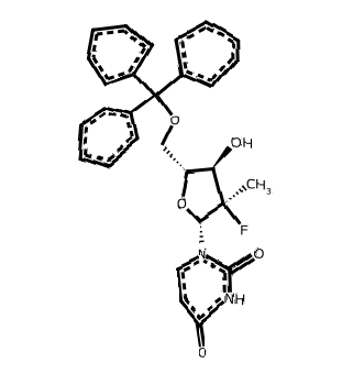 C[C@@]1(F)[C@H](O)[C@@H](COC(c2ccccc2)(c2ccccc2)c2ccccc2)O[C@H]1n1ccc(=O)[nH]c1=O